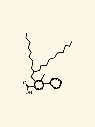 CCCCCCCCCCC(CCCCCCCC)Cc1c(C(=O)O)ccc(-c2ccccc2)c1C